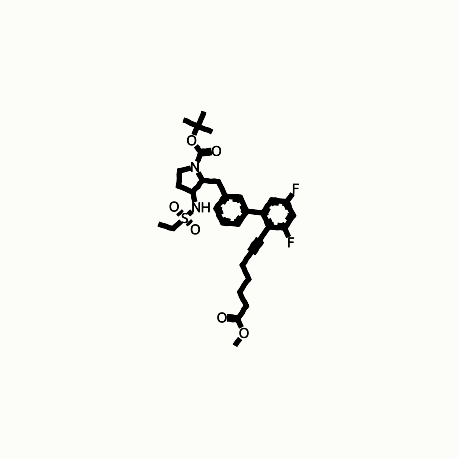 CCS(=O)(=O)NC1CCN(C(=O)OC(C)(C)C)C1Cc1cccc(-c2cc(F)cc(F)c2C#CCCCCC(=O)OC)c1